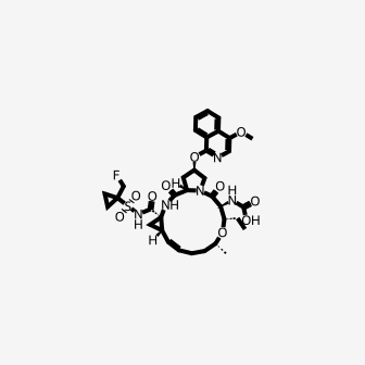 CC[C@@H]1O[C@H](C)CC/C=C\[C@@H]2C[C@@]2(C(=O)NS(=O)(=O)C2(CF)CC2)NC(=O)[C@@H]2C[C@@H](Oc3ncc(OC)c4ccccc34)CN2C(=O)[C@H]1NC(=O)O